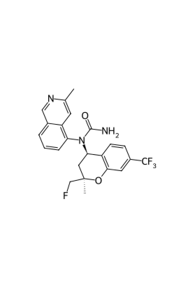 Cc1cc2c(N(C(N)=O)[C@@H]3C[C@](C)(CF)Oc4cc(C(F)(F)F)ccc43)cccc2cn1